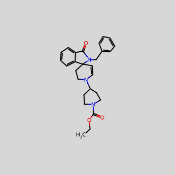 CCOC(=O)N1CCC(N2C=CC3(CC2)c2ccccc2C(=O)N3Cc2ccccc2)CC1